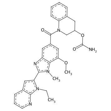 CCn1c(-c2nc3cc(C(=O)N4CC(OC(N)=O)Cc5ccccc54)cc(OC)c3n2C)cc2cccnc21